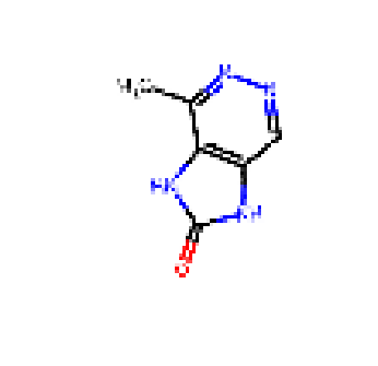 Cc1nncc2[nH]c(=O)[nH]c12